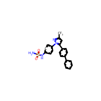 NS(=O)(=O)Nc1ccc(-n2nc(C(F)(F)F)cc2-c2ccc(-c3ccccc3)cc2)cc1